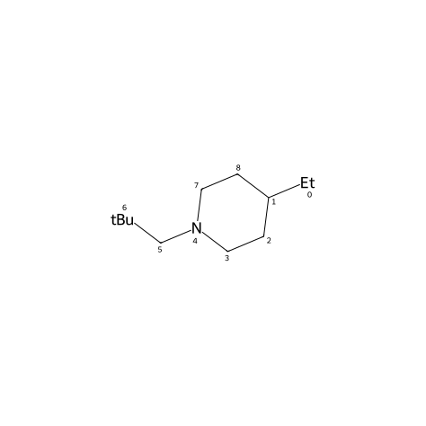 CCC1CCN(CC(C)(C)C)CC1